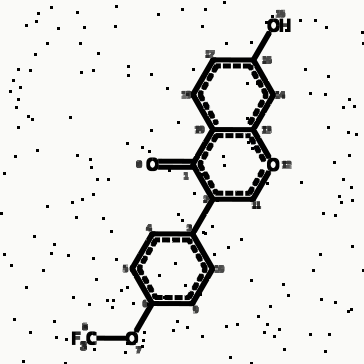 O=c1c(-c2ccc(OC(F)(F)F)cc2)coc2cc(O)ccc12